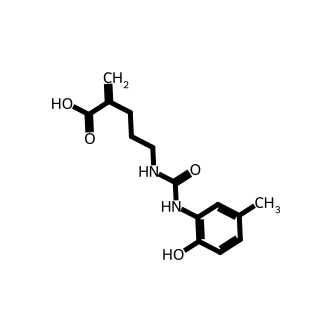 C=C(CCCNC(=O)Nc1cc(C)ccc1O)C(=O)O